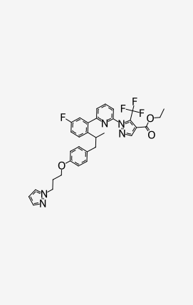 CCOC(=O)c1cnn(-c2cccc(-c3cc(F)ccc3C(C)Cc3ccc(OCCCn4cccn4)cc3)n2)c1C(F)(F)F